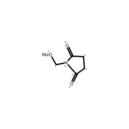 COCN1C(=O)CCC1=O